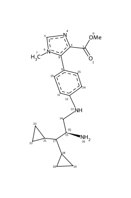 COC(=O)c1ncn(C)c1-c1ccc(NC[C@@H](N)C(C2CC2)C2CC2)cc1